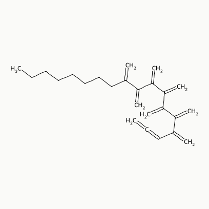 C=C=CC(=C)C(=C)C(=C)C(=C)C(=C)C(=C)C(=C)CCCCCCCC